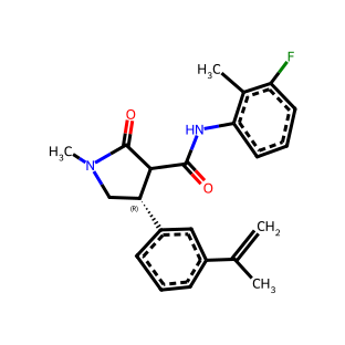 C=C(C)c1cccc([C@@H]2CN(C)C(=O)C2C(=O)Nc2cccc(F)c2C)c1